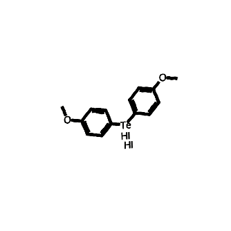 COc1ccc([Te]c2ccc(OC)cc2)cc1.I.I